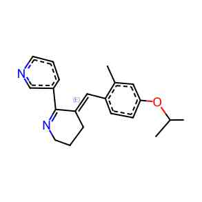 Cc1cc(OC(C)C)ccc1/C=C1\CCCN=C1c1cccnc1